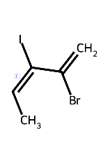 C=C(Br)/C(I)=C\C